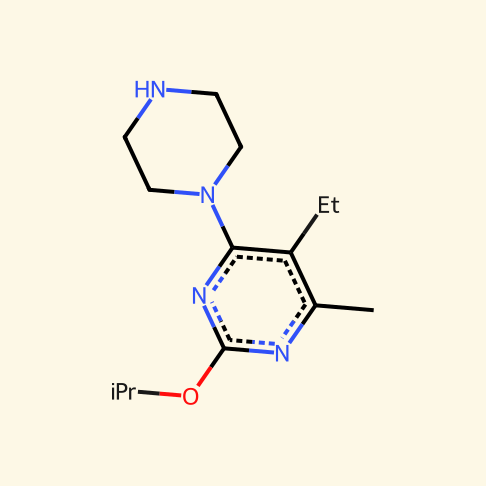 CCc1c(C)nc(OC(C)C)nc1N1CCNCC1